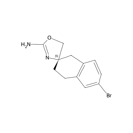 NC1=N[C@]2(CCc3cc(Br)ccc3C2)CO1